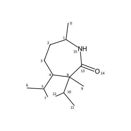 CC1CCC(C(C)C)C(C)(C(C)C)C(=O)N1